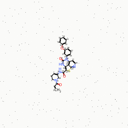 C=CC(=O)N1CCC=C(NC(=O)c2sc3nccc4c3c2NC(=O)N4c2cccc(Oc3ccccc3)c2)C1